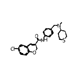 CN(Cc1ccc(NC(=O)C2=Cc3cc(Cl)ccc3OC2)cc1)C1CCSCC1